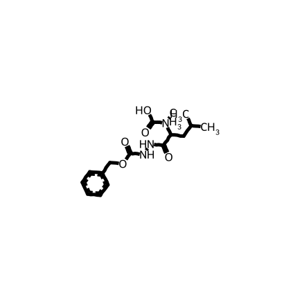 CC(C)CC(C(=O)NNC(=O)OCc1ccccc1)N(C)C(=O)O